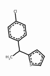 [CH2]C(c1ccc(Cl)cc1)c1cccs1